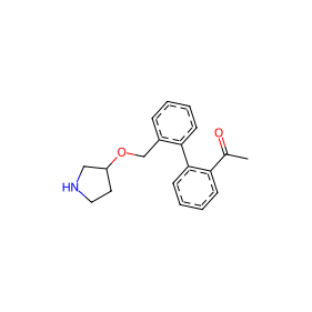 CC(=O)c1ccccc1-c1ccccc1COC1CCNC1